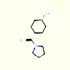 C=C([C@H]1CC[C@H](N)CC1)N1CCCC1